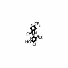 CCSc1cc(Cl)c(O)nc1-n1nc2cc(C(F)(F)F)ncc2c1Cl